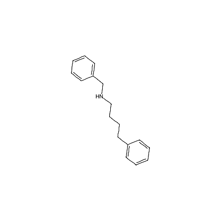 c1ccc(CCCCNCc2ccccc2)cc1